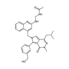 CC(=O)NCNc1cc(Cn2cc3c(CC(C)C)nn(C)c(=O)c3c2-c2cccc(CO)c2)c2ccccc2n1